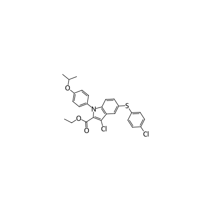 CCOC(=O)c1c(Cl)c2cc(Sc3ccc(Cl)cc3)ccc2n1-c1ccc(OC(C)C)cc1